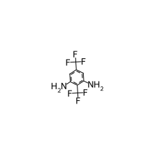 Nc1cc(C(F)(F)F)cc(N)c1C(F)(F)F